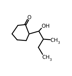 CCC(C)C(O)C1CCCCC1=O